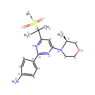 CC(C)S(=O)(=O)C(C)(C)c1cc(N2CCOC[C@@H]2C)nc(-c2ccc(N)cc2)n1